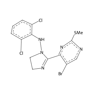 CSc1ncc(Br)c(C2=NCCN2Nc2c(Cl)cccc2Cl)n1